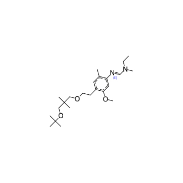 CCN(C)/C=N/c1cc(OC)c(CCOCC(C)(C)COC(C)(C)C)cc1C